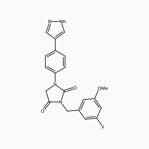 COc1cc(F)cc(CN2C(=O)CN(c3ccc(-c4cn[nH]c4)cc3)C2=O)c1